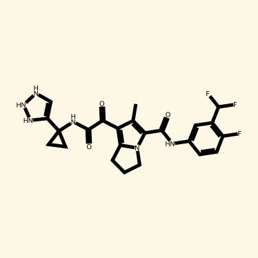 Cc1c(C(=O)C(=O)NC2(C3=CNNN3)CC2)c2n(c1C(=O)Nc1ccc(F)c(C(F)F)c1)CCC2